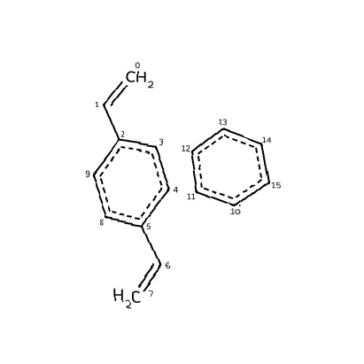 C=Cc1ccc(C=C)cc1.[c]1ccccc1